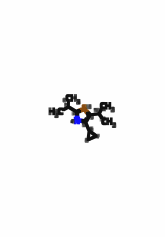 CC(C)c1nc(C2CC2)c(C(C)C)s1